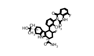 Cc1c(C2c3c([nH]c4c3CC[C@@H](C(C)(C)O)C4)[C@@H](C(N)=O)CC2F)cccc1-n1c(=O)[nH]c2c(F)cccc2c1=O